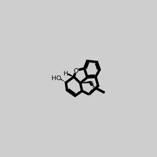 CN1CC[C@]23c4c5cccc4O[C@H]2[C@@H](O)C=CC3C1C5